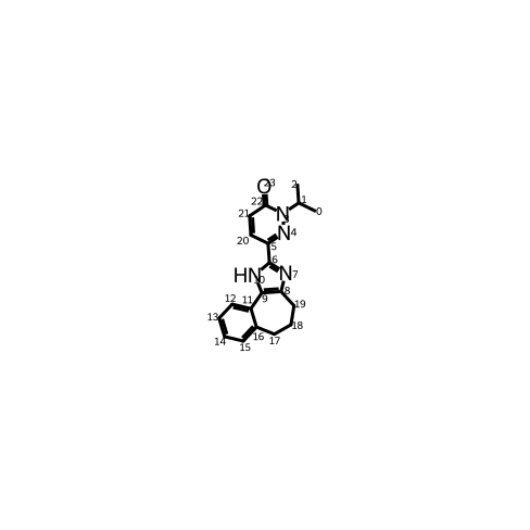 CC(C)n1nc(-c2nc3c([nH]2)-c2ccccc2CCC3)ccc1=O